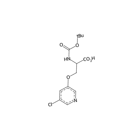 CC(C)(C)OC(=O)NC(COc1cncc(Cl)c1)C(=O)O